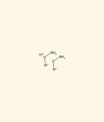 [N-2][O][AlH2].[N-2][O][AlH2].[Ti+4]